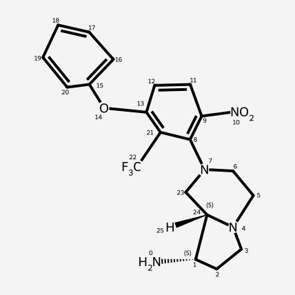 N[C@H]1CCN2CCN(c3c([N+](=O)[O-])ccc(Oc4ccccc4)c3C(F)(F)F)C[C@@H]12